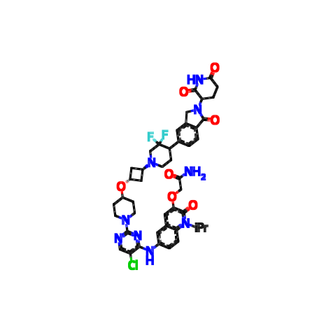 CC(C)n1c(=O)c(OCC(N)=O)cc2cc(Nc3nc(N4CCC(O[C@H]5C[C@H](N6CCC(c7ccc8c(c7)CN(C7CCC(=O)NC7=O)C8=O)C(F)(F)C6)C5)CC4)ncc3Cl)ccc21